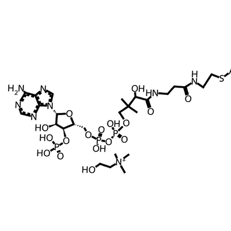 CC(=O)SCCNC(=O)CCNC(=O)C(O)C(C)(C)COP(=O)(O)OP(=O)(O)OC[C@H]1O[C@@H](n2cnc3c(N)ncnc32)[C@H](O)[C@@H]1OP(=O)(O)O.C[N+](C)(C)CCO